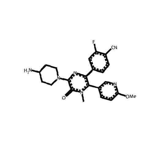 COc1ccc(-c2c(-c3ccc(C#N)c(F)c3)nc(N3CCC(N)CC3)c(=O)n2C)cn1